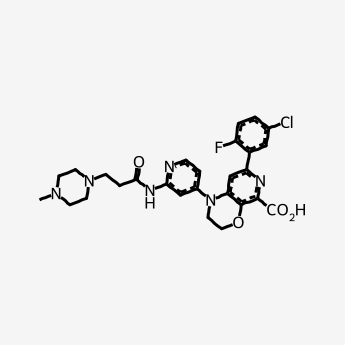 CN1CCN(CCC(=O)Nc2cc(N3CCOc4c3cc(-c3cc(Cl)ccc3F)nc4C(=O)O)ccn2)CC1